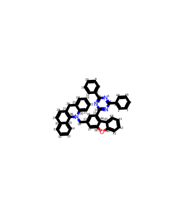 c1ccc(-c2nc(-c3ccccc3)nc(-c3cc(CN4c5ccccc5Cc5ccc6ccccc6c54)cc4oc5ccccc5c34)n2)cc1